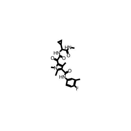 CNC(=O)C(NC(=O)C(=O)c1c(C)c(C(=O)Nc2ccc(F)c(C)c2)c(C)n1C)C1CC1